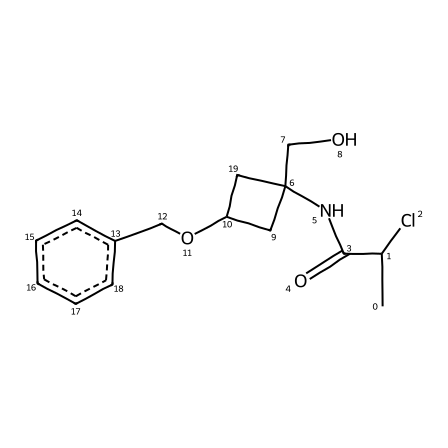 CC(Cl)C(=O)NC1(CO)CC(OCc2ccccc2)C1